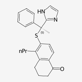 CCCc1c(S[C@@](C)(c2ccccc2)c2ncc[nH]2)ccc2c1CCCC2=O